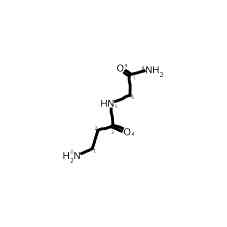 NCCC(=O)NCC(N)=O